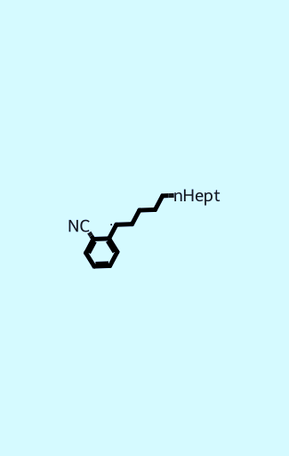 CCCCCCCCCCC[CH]c1ccccc1C#N